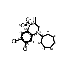 O=S1(=O)NCN(C2CCCCCC2)c2cc(Cl)c(Cl)cc21